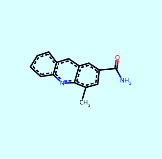 Cc1cc(C(N)=O)cc2cc3ccccc3nc12